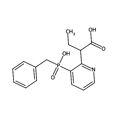 CCC(C(=O)O)c1ncccc1P(=O)(O)Cc1ccccc1